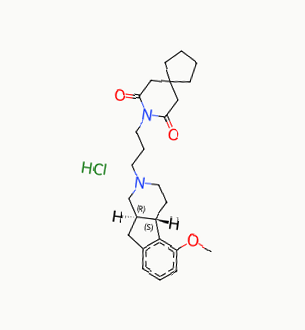 COc1cccc2c1[C@H]1CCN(CCCN3C(=O)CC4(CCCC4)CC3=O)C[C@@H]1C2.Cl